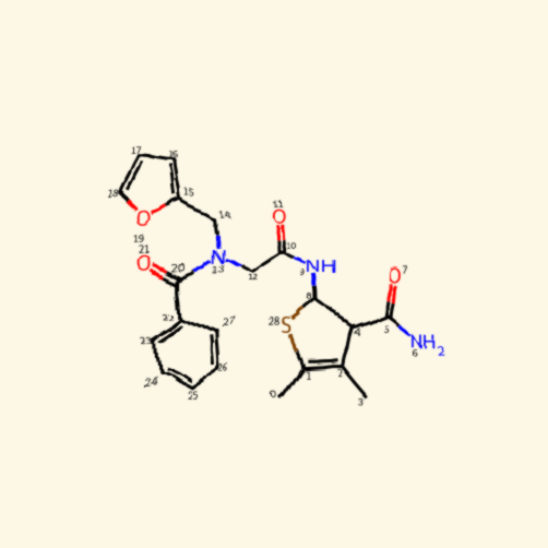 CC1=C(C)C(C(N)=O)C(NC(=O)CN(Cc2ccco2)C(=O)c2ccccc2)S1